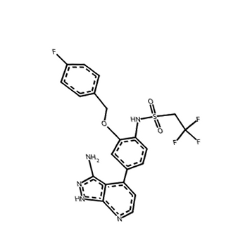 Nc1n[nH]c2nccc(-c3ccc(NS(=O)(=O)CC(F)(F)F)c(OCc4ccc(F)cc4)c3)c12